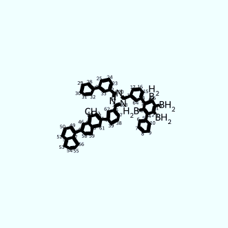 Bc1c(B)c(-c2ccccc2)c(B)c(-c2cccc(-c3nc(-c4cccc(-c5ccccc5)c4)nc(-c4cccc(-c5cc(C)c6cc(-c7cccc8ccccc78)ccc6c5)c4)n3)c2)c1B